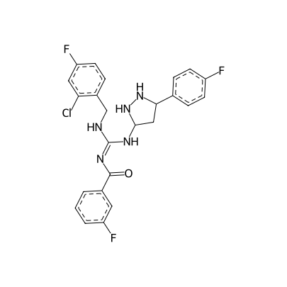 O=C(/N=C(/NCc1ccc(F)cc1Cl)NC1CC(c2ccc(F)cc2)NN1)c1cccc(F)c1